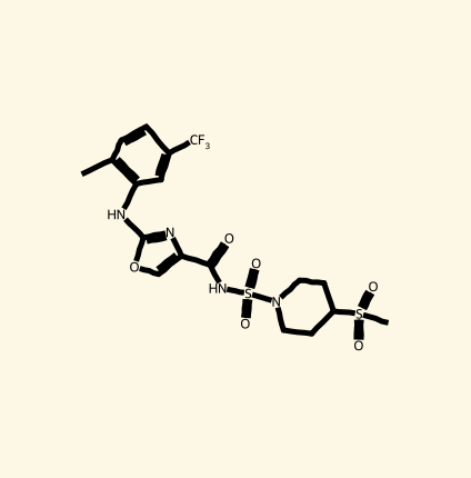 Cc1ccc(C(F)(F)F)cc1Nc1nc(C(=O)NS(=O)(=O)N2CCC(S(C)(=O)=O)CC2)co1